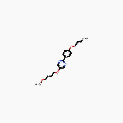 CCCCCCCC/C=C/COc1ccc(-c2ncc(OCCCCOCCCCCC)cn2)cc1